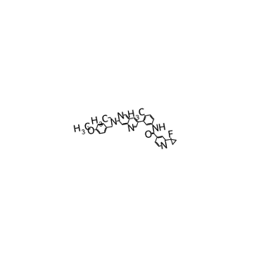 CCN(Cc1ccc(OC)cc1)c1cc2ncc(-c3cc(NC(=O)c4ccnc(C5(F)CC5)c4)ccc3C)cc2cn1